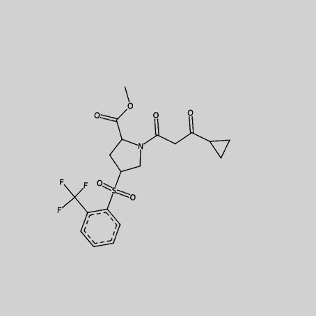 COC(=O)C1CC(S(=O)(=O)c2ccccc2C(F)(F)F)CN1C(=O)CC(=O)C1CC1